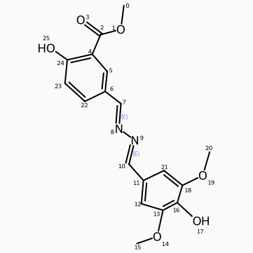 COC(=O)c1cc(/C=N/N=C/c2cc(OC)c(O)c(OC)c2)ccc1O